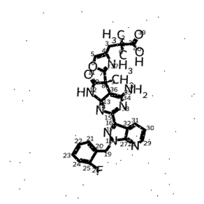 CC(C)(Cc1coc([C@@]2(C)C(=O)Nc3nc(-c4nn(Cc5ccccc5F)c5ncccc45)nc(N)c32)n1)C(=O)O